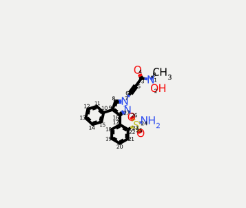 CN(O)C(=O)C#Cn1cc(-c2ccccc2)c(-c2ccccc2S(N)(=O)=O)n1